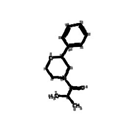 CC(C)C(=O)N1CCOC(c2ccccc2)C1